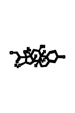 C[C@@H]1C[C@H]2[C@@H]3CCC4=CC(=O)C=C[C@]4(C)[C@H]3[C@@H](O)C[C@]2(C)[C@@]1(O)C(=O)CCl